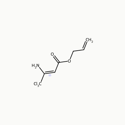 C=CCOC(=O)/C=C(\N)C(Cl)(Cl)Cl